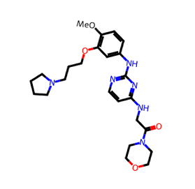 COc1ccc(Nc2nccc(NCC(=O)N3CCOCC3)n2)cc1OCCCN1CCCC1